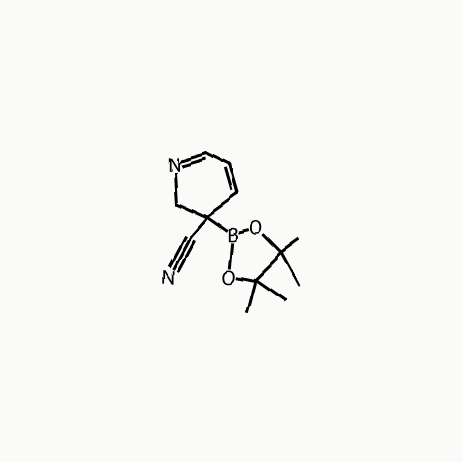 CC1(C)OB(C2(C#N)C=CC=NC2)OC1(C)C